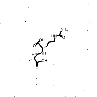 C[C@H](NN[C@@H](CCCNC(N)=O)C(=O)O)C(=O)O